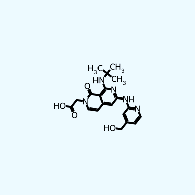 CC(C)(C)Nc1nc(Nc2cc(CO)ccn2)cc2ccn(CC(=O)O)c(=O)c12